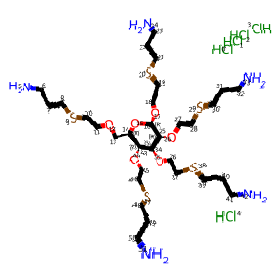 Cl.Cl.Cl.Cl.Cl.NCCCSCCOC[C@H]1O[C@@H](OCCSCCCN)[C@H](OCCSCCCN)[C@@H](OCCSCCCN)[C@@H]1OCCSCCCN